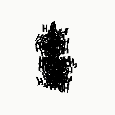 CO[C@@H]1OC(CO)[C@@H](O[C@@H]2OC(CO)[C@H](O[C@H]3OC(CO)[C@H](O)[C@H](O[C@@H]4OC(CO)[C@H](O)C(O[C@@H]5OC(CO)[C@H](O)C(O[C@]6(C(=O)O)C[C@@H](O)[C@@H](NC(C)=O)C([C@H](O)[C@H](O)CO)O6)[C@@H]5O)[C@@H]4NC(C)=O)C3O)C(O)[C@@H]2O)C(O)[C@@H]1O